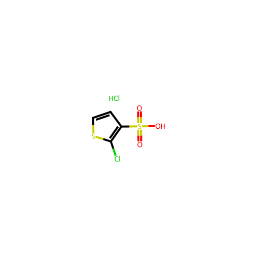 Cl.O=S(=O)(O)c1ccsc1Cl